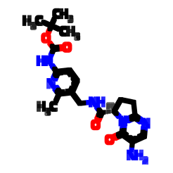 Cc1nc(NC(=O)OC(C)(C)C)ccc1CNC(=O)[C@@H]1CCc2ncc(N)c(=O)n21